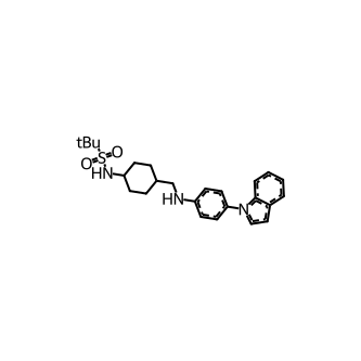 CC(C)(C)S(=O)(=O)NC1CCC(CNc2ccc(-n3ccc4ccccc43)cc2)CC1